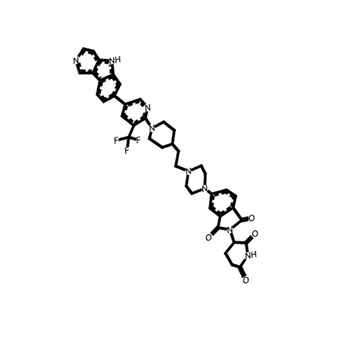 O=C1CCC(N2C(=O)c3ccc(N4CCN(CCC5CCN(c6ncc(-c7ccc8c(c7)[nH]c7ccncc78)cc6C(F)(F)F)CC5)CC4)cc3C2=O)C(=O)N1